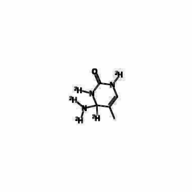 [2H]N1C=C(C)C([2H])(N([2H])[2H])N([2H])C1=O